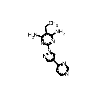 CCc1c(N)nc(-n2cc(-c3ccncn3)cn2)nc1N